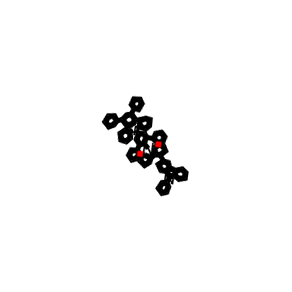 c1ccc(-c2cc(-c3ccccc3)cc([Si](c3ccccc3)(c3ccccc3)c3cc(-c4ccccc4)c(-n4c5ccccc5c5c(-c6ccc7c(c6)c6ccccc6n7-c6ccccc6)cccc54)c(-c4ccccc4)c3)c2)cc1